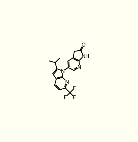 CC(C)c1cc2ccc(C(F)(F)F)nc2n1-c1cnc2c(c1)CC(=O)N2